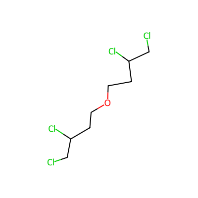 ClCC(Cl)CCOCCC(Cl)CCl